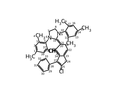 Cc1cc(C)c(N2CCN(c3c(C)cc(C)cc3C)C2=C2CC=C3[C]C(Cl)=C(c4ccccc4)C3=C2Cl)c(C)c1